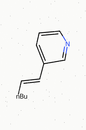 CCCC/C=C/c1cccnc1